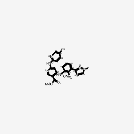 COC(=O)c1cnc(Nc2ccc(F)cn2)cc1Nc1cccc(-c2ncn(C)n2)c1OC